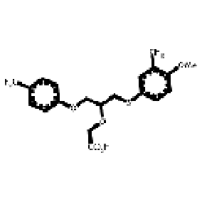 COc1ccc(SCC(COc2ccc(C(F)(F)F)cc2)OCC(=O)O)cc1C